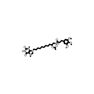 COc1cc(CCC(=O)NCC(CCCCCCCCCN2CN(C)c3c2n(C)c(=O)[nH]c3=O)OC(C)=O)cc(OC)c1OC